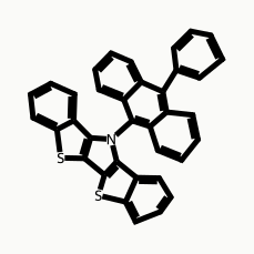 c1ccc(-c2c3ccccc3c(-n3c4c5ccccc5sc4c4sc5ccccc5c43)c3ccccc23)cc1